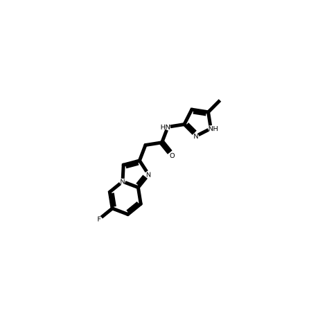 Cc1cc(NC(=O)Cc2cn3cc(F)ccc3n2)n[nH]1